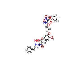 COc1cc2c(cc1OCCCOc1no[n+]([O-])c1S(=O)(=O)c1ccccc1)OC(O)C(C(=O)NCCCc1ccccc1)=C2